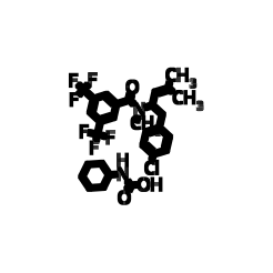 CC(C)=CC(Cc1ccc(Cl)cc1)N(C)C(=O)c1cc(C(F)(F)F)cc(C(F)(F)F)c1.O=C(O)NC1CCCCC1